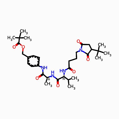 CC(C)[C@H](NC(=O)CCCN1C(=O)CC(C(C)(C)C)C1=O)C(=O)N[C@@H](C)C(=O)Nc1ccc(COC(=O)C(C)(C)C)cc1